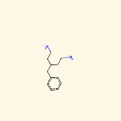 NCC[C](CCN)Cc1ccccc1